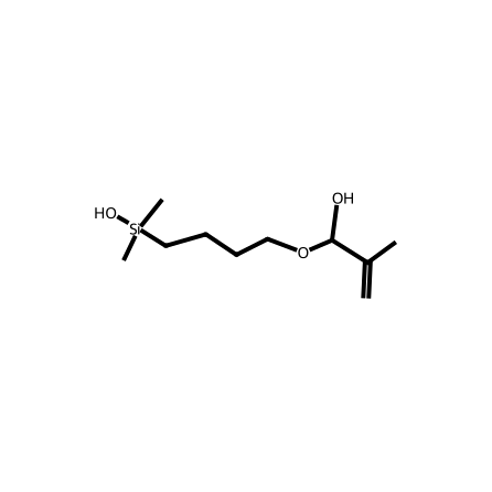 C=C(C)C(O)OCCCC[Si](C)(C)O